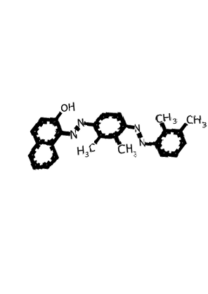 Cc1cccc(N=Nc2ccc(N=Nc3c(O)ccc4ccccc34)c(C)c2C)c1C